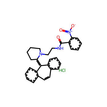 Cl.O=C(NCCN1CCCCC1=C1c2ccccc2C=Cc2ccccc21)c1ccccc1[N+](=O)[O-]